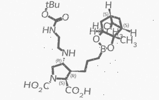 CC(C)(C)OC(=O)NCCN[C@H]1CN(C(=O)O)[C@H](C(=O)O)[C@@H]1CCCB1O[C@@H]2C[C@@H]3C[C@@H](C3(C)C)[C@]2(C)O1